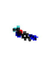 CC(N=[N+]=[N-])c1ccc(-c2nnc(C(F)F)o2)cc1